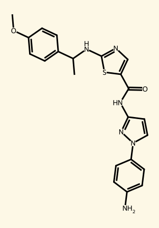 COc1ccc(C(C)Nc2ncc(C(=O)Nc3ccn(-c4ccc(N)cc4)n3)s2)cc1